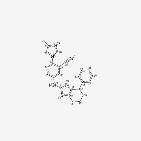 Cc1cn(-c2ccc(Nc3nc4c(s3)CCCC4c3ccccc3)cc2C#N)cn1